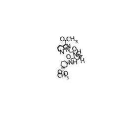 COC(=O)[C@@H]1CCC[C@H](NC(=O)C2C[C@H]3C[C@H]3N2C(=O)Cn2nc(C(C)=O)c3cccnc32)C1